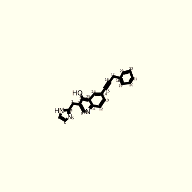 Oc1c(Cc2ncc[nH]2)cnc2ccc(C#CCc3ccccc3)cc12